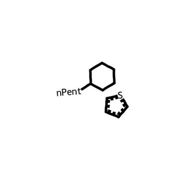 CCCCCC1CCCCC1.c1ccsc1